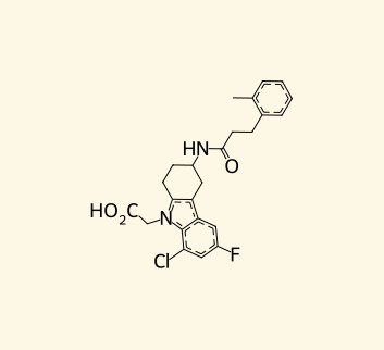 Cc1ccccc1CCC(=O)NC1CCc2c(c3cc(F)cc(Cl)c3n2CC(=O)O)C1